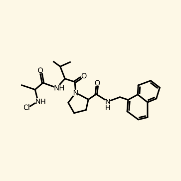 CC(NCl)C(=O)NC(C(=O)N1CCCC1C(=O)NCc1cccc2ccccc12)C(C)C